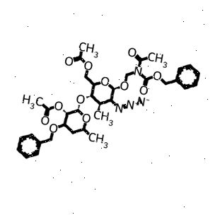 CC(=O)OCC1O[C@@H](OCN(C(C)=O)C(=O)OCc2ccccc2)C(N=[N+]=[N-])[C@@H](C)[C@@H]1O[C@@H]1OC(C)CC(OCc2ccccc2)[C@@H]1OC(C)=O